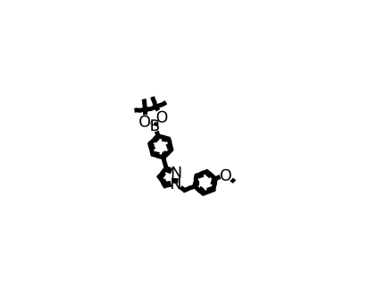 COc1ccc(Cn2ccc(-c3ccc(B4OC(C)(C)C(C)(C)O4)cc3)n2)cc1